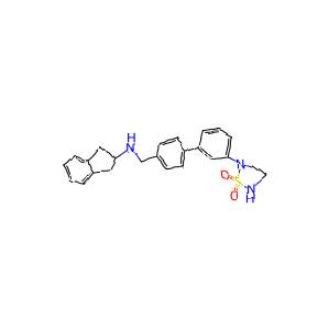 O=S1(=O)NCCN1c1cccc(-c2ccc(CNC3Cc4ccccc4C3)cc2)c1